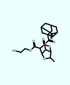 CC1OC2C(C(=O)OCCS)C(=O)OC1C2OC(=O)C12CC3CC(C1)C(=O)C(C3)C2